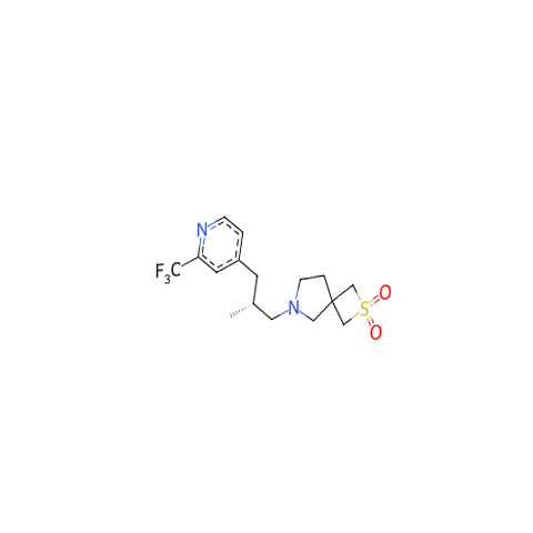 C[C@H](Cc1ccnc(C(F)(F)F)c1)CN1CCC2(C1)CS(=O)(=O)C2